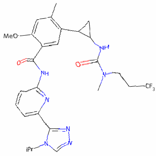 COc1cc(C)c(C2CC2NC(=O)N(C)CCC(F)(F)F)cc1C(=O)Nc1cccc(-c2nncn2C(C)C)n1